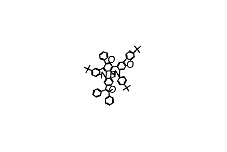 CC(C)(C)c1ccc(N2B3c4cc5oc(-c6ccccc6)c(-c6ccccc6)c5cc4-n4c5ccc(C(C)(C)C)cc5c5c6c(oc7ccccc76)c(c3c54)-c3cc4c(cc32)oc2cc(C(C)(C)C)ccc24)cc1